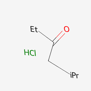 CCC(=O)CC(C)C.Cl